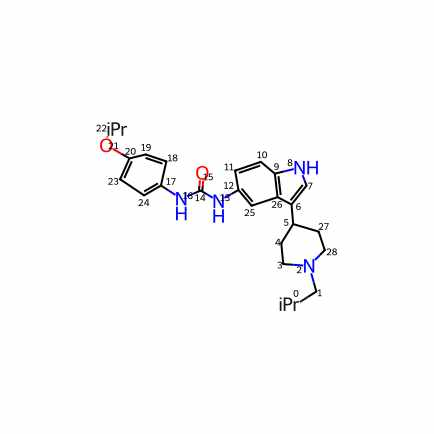 CC(C)CN1CCC(c2c[nH]c3ccc(NC(=O)Nc4ccc(OC(C)C)cc4)cc23)CC1